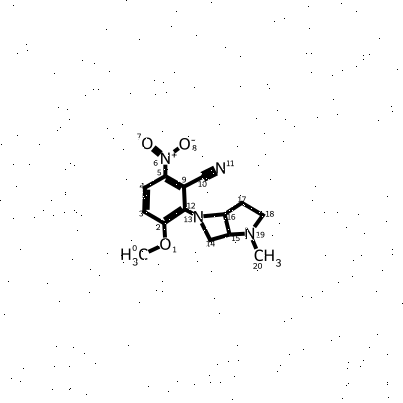 COc1ccc([N+](=O)[O-])c(C#N)c1N1CC2C1CCN2C